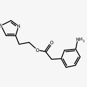 Nc1cccc(CC(=O)OCCc2cscn2)c1